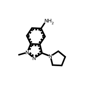 Cn1nc(N2CCCC2)c2cc(N)ccc21